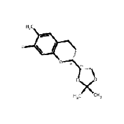 Cc1cc2c(cc1F)O[C@@H]([C@@H]1COC(C)(C)O1)CC2